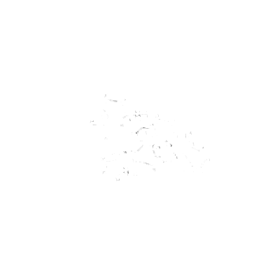 Cc1cccc(F)c1C(=O)N1CCC[C@H](C(=O)Nc2cccc(C(C)C)c2)[C@@H]1c1ccc(CN2CCCC2C)cc1